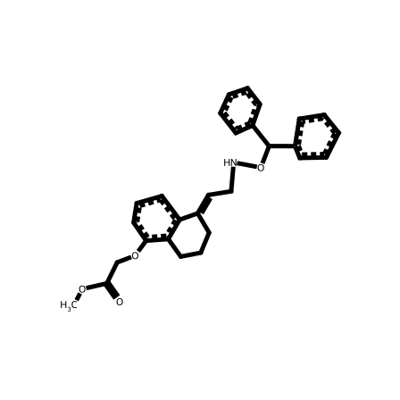 COC(=O)COc1cccc2c1CCCC2=CCNOC(c1ccccc1)c1ccccc1